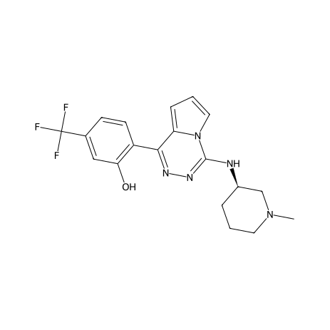 CN1CCC[C@@H](Nc2nnc(-c3ccc(C(F)(F)F)cc3O)c3cccn23)C1